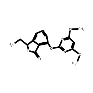 CCC1OC(=O)c2c(Oc3nc(OC)cc(OC)n3)cccc21